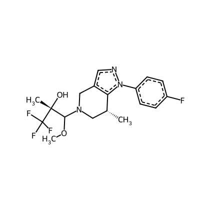 COC(N1Cc2cnn(-c3ccc(F)cc3)c2[C@H](C)C1)[C@@](C)(O)C(F)(F)F